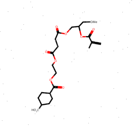 C=C(C)C(=O)OC(COC)COC(=O)CCC(=O)OCCOC(=O)C1CCC(C(=O)O)CC1